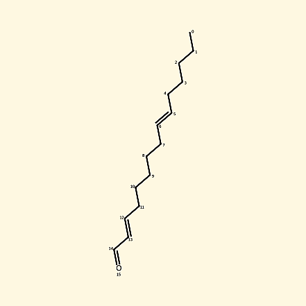 CCCCCC=CCCCCCC=CC=O